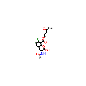 CCC(=O)N[C@H]1Cc2cc(F)c(F)c(C(=O)OCCCC(=O)C(C)(C)C)c2OB1O